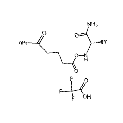 CCCC(=O)CCCC(=O)ON[C@H](C(N)=O)C(C)C.O=C(O)C(F)(F)F